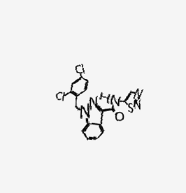 O=C(Nc1cnns1)c1nn(Cc2ccc(Cl)cc2Cl)c2ccccc12